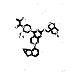 C=C(F)C(=O)N1CCN(c2nc(OCC34COCC3CN(C)C4)nc3c2CCN(c2cccc4c2C2CC2C4)C3)C[C@@H]1CC#N